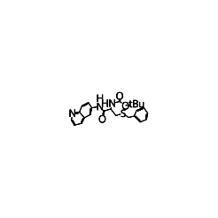 CC(C)(C)OC(=O)NC(CSCc1ccccc1)C(=O)Nc1ccc2ncccc2c1